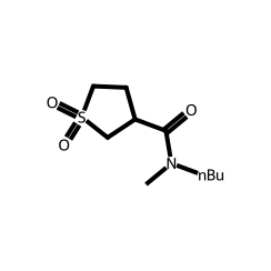 CCCCN(C)C(=O)C1CCS(=O)(=O)C1